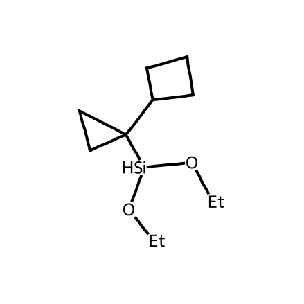 CCO[SiH](OCC)C1(C2CCC2)CC1